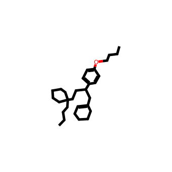 CCCCOc1ccc(C(CCC2(CCCC)CCCCC2)CC2=CCCCC2)cc1